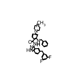 CN1CCN(c2ccc(C(=O)Nc3n[nH]c4ccc(Cc5cc(F)cc(F)c5)cc34)c(NCc3ccccc3)c2)CC1